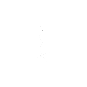 CCCCSP(=S)(S)S